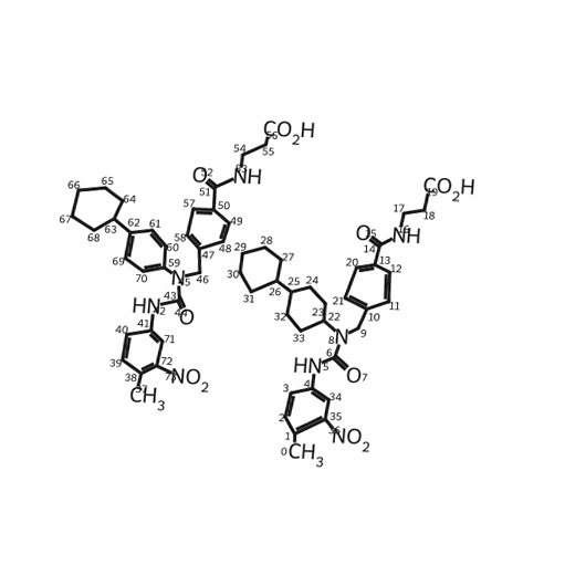 Cc1ccc(NC(=O)N(Cc2ccc(C(=O)NCCC(=O)O)cc2)C2CCC(C3CCCCC3)CC2)cc1[N+](=O)[O-].Cc1ccc(NC(=O)N(Cc2ccc(C(=O)NCCC(=O)O)cc2)c2ccc(C3CCCCC3)cc2)cc1[N+](=O)[O-]